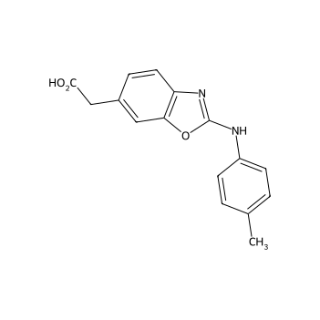 Cc1ccc(Nc2nc3ccc(CC(=O)O)cc3o2)cc1